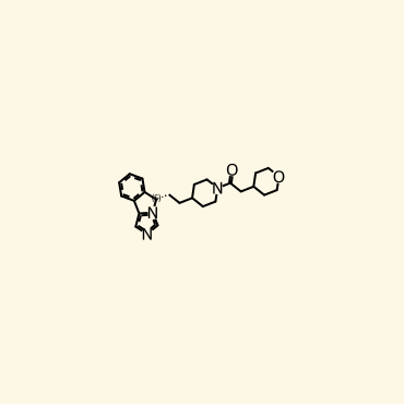 O=C(CC1CCOCC1)N1CCC(CC[C@H]2c3ccccc3-c3cncn32)CC1